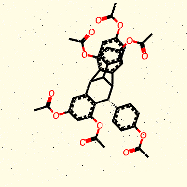 CC(=O)Oc1ccc(C2C3c4cc(OC(C)=O)cc(OC(C)=O)c4[C@@H](c4ccc(OC(C)=O)cc4)C2c2cc(OC(C)=O)cc(OC(C)=O)c23)cc1